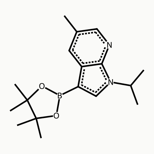 Cc1cnc2c(c1)c(B1OC(C)(C)C(C)(C)O1)cn2C(C)C